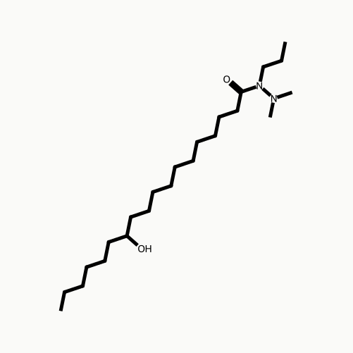 CCCCCCC(O)CCCCCCCCCCC(=O)N(CCC)N(C)C